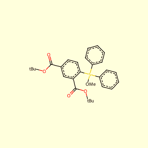 COS(c1ccccc1)(c1ccccc1)c1ccc(C(=O)OC(C)(C)C)cc1C(=O)OC(C)(C)C